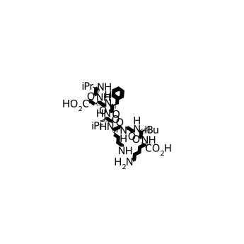 CC[C@H](C)[C@H](NC(=O)CNC(=O)[C@H](CCCCN)NC(=O)[C@H](CC(C)C)NC(=O)[C@H](Cc1ccccc1)NC(=O)[C@H](CCC(=O)O)NC(=O)[C@@H](N)C(C)C)C(=O)N[C@@H](CCCCN)C(=O)O